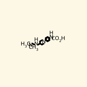 CN(C)CCNCC1CCN(c2ccc(NC(=O)O)cc2)CC1